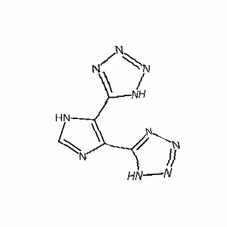 c1nc(-c2nnn[nH]2)c(-c2nnn[nH]2)[nH]1